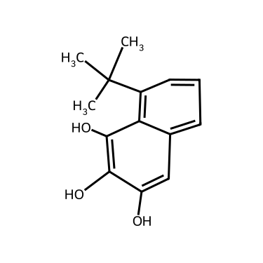 CC(C)(C)c1cccc2cc(O)c(O)c(O)c12